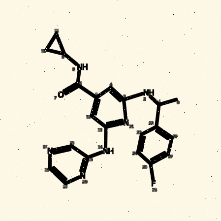 CC(Nc1cc(C(=O)NC2CC2)cc(Nc2cnccn2)n1)c1ccc(F)cc1